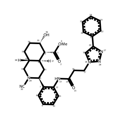 COC(=O)[C@@H]1[C@H]2C[C@@H](c3ccccc3NC(=O)CCn3cc(-c4ccccc4)nn3)N(C#N)C[C@@H]2CC[C@@H]1O